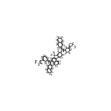 CC1(C)c2cc(N(c3cccc(C(F)(F)F)c3)c3ccc4ccccc4c3)ccc2-c2c1cc(N(c1cccc(C(F)(F)F)c1)c1ccc3ccccc3c1)c1ccccc21